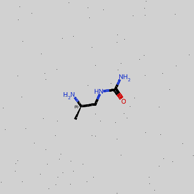 C[C@@H](N)CNC(N)=O